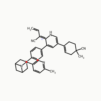 C=C/C(C#N)=C1\NC=C(C2=CCC(C)(C#N)CC2)C=C1c1ccc(N2CC3CC(C2)N3Cc2ccc(C)nc2)nc1